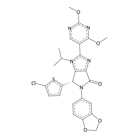 COc1ncc(-c2nc3c(n2C(C)C)[C@@H](c2ccc(Cl)s2)N(c2ccc4c(c2)OCO4)C3=O)c(OC)n1